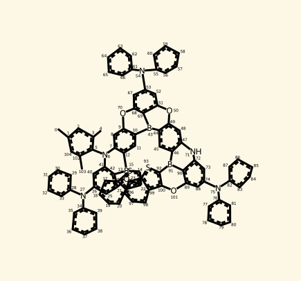 Cc1cc(C)c(N2c3cc4c(cc3B3c5sc6ccccc6c5Oc5cc(N(c6ccccc6)c6ccccc6)cc2c53)B2c3cc5c(cc3Oc3cc(N(c6ccccc6)c6ccccc6)cc(c32)O4)Nc2cc(N(c3ccccc3)c3ccccc3)cc3c2B5c2sc4ccccc4c2O3)c(C)c1